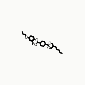 CCCCCC1COC(C2CCC(C(=O)Oc3ccc(OCCC)cc3F)CC2)OC1